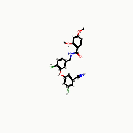 COc1ccc(C(=O)NCc2ccc(Cl)c(Oc3cc(Cl)cc(C#N)c3)c2)c(OC)c1